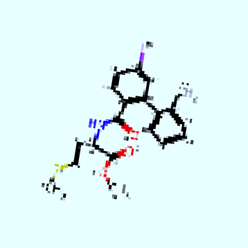 COC(=O)[C@H](CCSC)NC(=O)c1ccc(I)cc1-c1ccccc1C